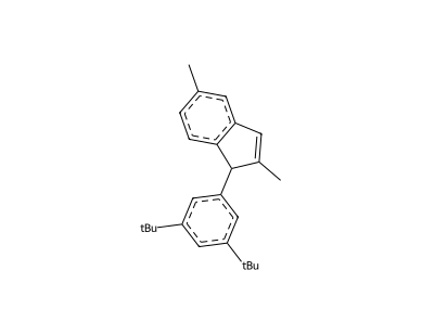 CC1=Cc2cc(C)ccc2C1c1cc(C(C)(C)C)cc(C(C)(C)C)c1